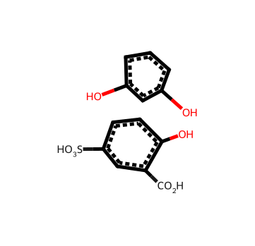 O=C(O)c1cc(S(=O)(=O)O)ccc1O.Oc1cccc(O)c1